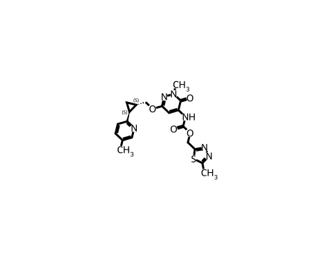 Cc1ccc([C@H]2C[C@@H]2COc2cc(NC(=O)OCc3nnc(C)s3)c(=O)n(C)n2)nc1